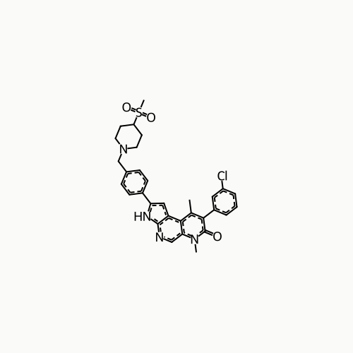 Cc1c(-c2cccc(Cl)c2)c(=O)n(C)c2cnc3[nH]c(-c4ccc(CN5CCC(S(C)(=O)=O)CC5)cc4)cc3c12